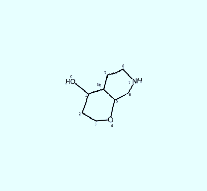 OC1CCOC2CNCCC12